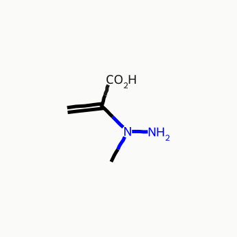 C=C(C(=O)O)N(C)N